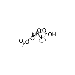 CC(=O)OCO/N=[N+](/[O-])N1CCC[C@H]1C(=O)O